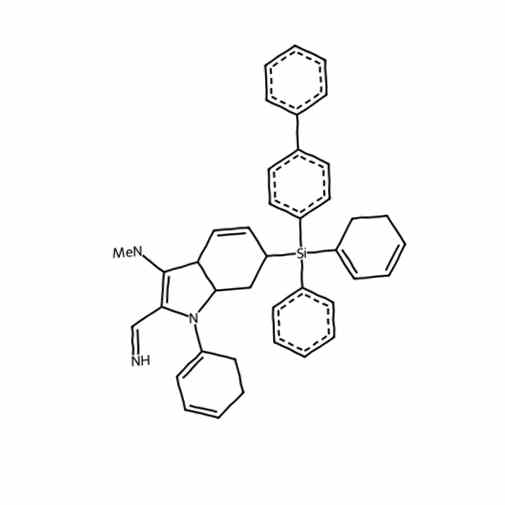 CNC1=C(C=N)N(C2=CC=CCC2)C2CC([Si](C3=CC=CCC3)(c3ccccc3)c3ccc(-c4ccccc4)cc3)C=CC12